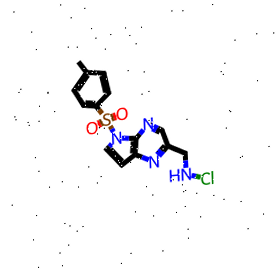 Cc1ccc(S(=O)(=O)n2ccc3nc(CNCl)cnc32)cc1